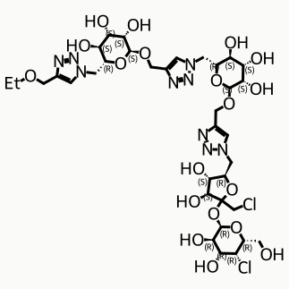 CCOCc1cn(C[C@H]2O[C@H](OCc3cn(C[C@H]4O[C@H](OCc5cn(C[C@H]6OC(CCl)(O[C@H]7O[C@H](CO)[C@H](Cl)[C@H](O)[C@H]7O)[C@@H](O)[C@@H]6O)nn5)[C@@H](O)[C@@H](O)[C@@H]4O)nn3)[C@@H](O)[C@@H](O)[C@@H]2O)nn1